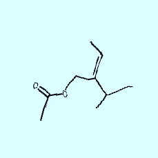 CC=C(COC(C)=O)C(C)C